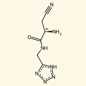 N#CC[C@@H](N)C(=O)NCc1nnn[nH]1